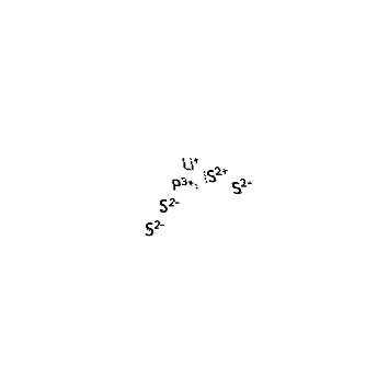 [Li+].[P+3].[S+2].[S-2].[S-2].[S-2]